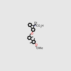 CC/C(C(=O)O)=C1\c2ccccc2-c2cc(OCc3cccc(-c4c(C)cc(OCOC)cc4C)c3C)ccc21